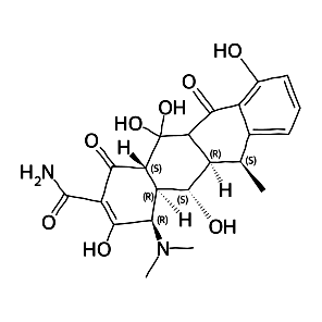 C[C@@H]1c2cccc(O)c2C(=O)C2[C@@H]1[C@H](O)[C@H]1[C@@H](N(C)C)C(O)=C(C(N)=O)C(=O)[C@@H]1C2(O)O